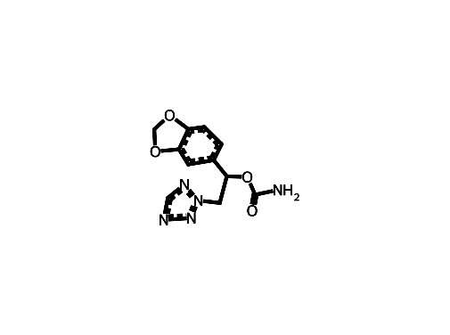 NC(=O)OC(Cn1ncnn1)c1ccc2c(c1)OCO2